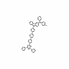 Cc1ccc(N(c2ccccc2)c2ccc3c(c2)c2ccccc2n3-c2ccc(-c3ccc(-c4ccc(-c5cc(-c6ccccc6)nc(-c6ccccc6)n5)cc4)cc3)cc2)cc1